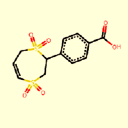 O=C(O)c1ccc(C2CS(=O)(=O)C=CCS2(=O)=O)cc1